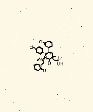 CC[C@@H](Cn1ccccc1=O)N1C(=O)[C@@](C)(CC(=O)O)C[C@H](c2cccc(Cl)c2)[C@H]1c1ccc(Cl)cc1